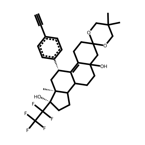 C#Cc1ccc([C@H]2C[C@@]3(C)C(CC[C@@]3(O)C(F)(F)C(F)(F)F)C3CCC4(O)CC5(CCC4=C32)OCC(C)(C)CO5)cc1